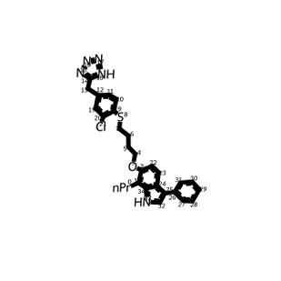 CCCc1c(OCCCCSc2ccc(Cc3nnn[nH]3)cc2Cl)ccc2c(-c3ccccc3)c[nH]c12